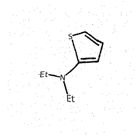 C[CH]N(CC)c1cccs1